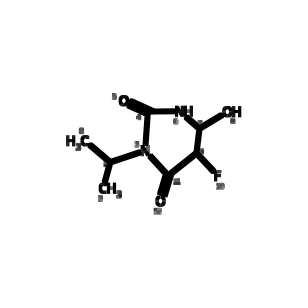 CC(C)N1C(=O)NC(O)C(F)C1=O